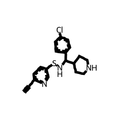 C#Cc1ccc(SNC(c2ccc(Cl)cc2)C2CCNCC2)cn1